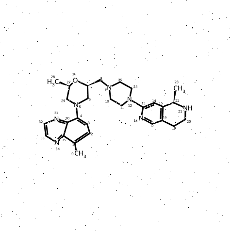 Cc1ccc(N2C[C@H](CN3CCN(c4cc5c(cn4)CCN[C@@H]5C)CC3)O[C@H](C)C2)c2nccnc12